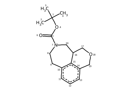 CC(C)(C)OC(=O)N1CCc2cccc3c2C(COC3)C1